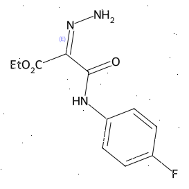 CCOC(=O)/C(=N/N)C(=O)Nc1ccc(F)cc1